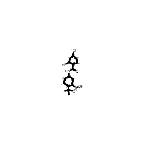 CC1(C)OB(O)c2cc(NC(=O)c3ccc(Cl)cc3F)ccc21